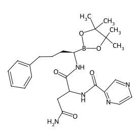 CC1(C)OB([C@H](CCCc2ccccc2)NC(=O)C(CC(N)=O)NC(=O)c2cnccn2)OC1(C)C